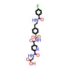 O=C(O)CNC(=O)c1ccc(C(=O)NS(=O)(=O)c2ccc(CCNC(=O)c3ccc(F)cc3)cc2)cn1